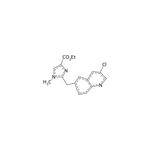 CCOC(=O)c1cn(C)c(Cc2ccc3ncc(Cl)cc3c2)n1